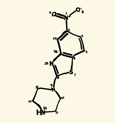 O=[N+]([O-])c1ccc2sc(N3CCNCC3)nc2c1